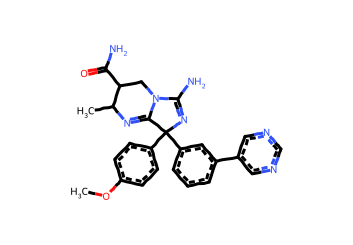 COc1ccc(C2(c3cccc(-c4cncnc4)c3)N=C(N)N3CC(C(N)=O)C(C)N=C32)cc1